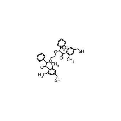 Cc1cc(CS)cc(C)c1C(=O)C(OCCOC(C(=O)c1c(C)cc(CS)cc1C)c1ccccc1)c1ccccc1